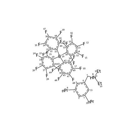 CCCc1cc(CCC)cc(C[NH+](CC)CC)c1.Fc1c(F)c(F)c([B-](c2c(F)c(F)c(F)c(F)c2F)(c2c(F)c(F)c(F)c(F)c2F)c2c(F)c(F)c(F)c(F)c2F)c(F)c1F